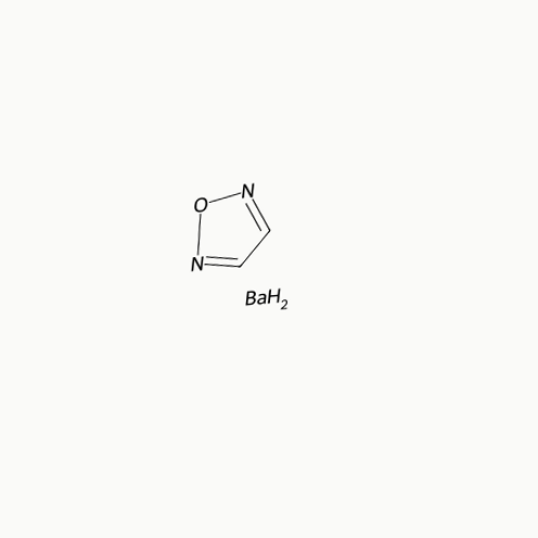 [BaH2].c1cnon1